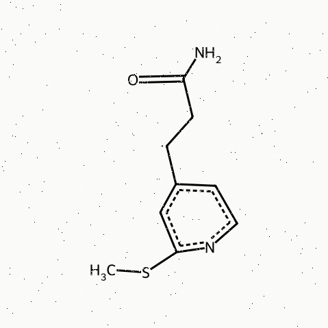 CSc1cc([CH]CC(N)=O)ccn1